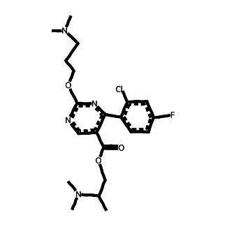 CC(COC(=O)c1cnc(OCCCN(C)C)nc1-c1ccc(F)cc1Cl)N(C)C